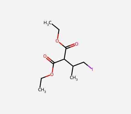 CCOC(=O)C(C(=O)OCC)C(C)CI